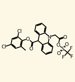 Cc1cc(Cl)cc(Cl)c1OC(=O)C1c2ccccc2N(CC(=O)OS(=O)(=O)C(F)(F)F)c2ccccc21